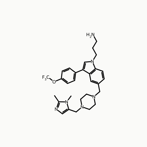 Cc1ncc(CN2CCN(Cc3ccc4c(c3)c(-c3ccc(OC(F)(F)F)cc3)cn4CCCN)CC2)n1C